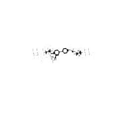 C=C(C)C(=O)OCOc1ccc(-c2ccc(OC(=O)C(=C)C)c(C(F)(F)F)c2)cc1